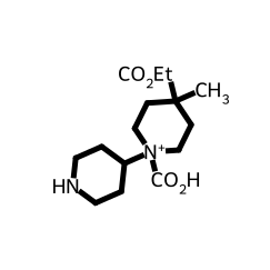 CCOC(=O)C1(C)CC[N+](C(=O)O)(C2CCNCC2)CC1